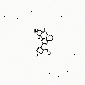 Cc1ccc(-c2cc3c4c(c2)[C@@H]2CNC[C@@H]2CN4CCC3)c(C=O)c1